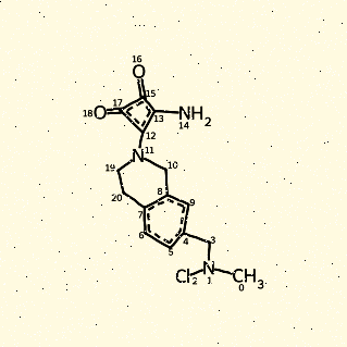 CN(Cl)Cc1ccc2c(c1)CN(c1c(N)c(=O)c1=O)CC2